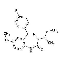 CC[C@H](C)C1N=C(c2ccc(F)cc2)c2cc(OC)ccc2NC1=O